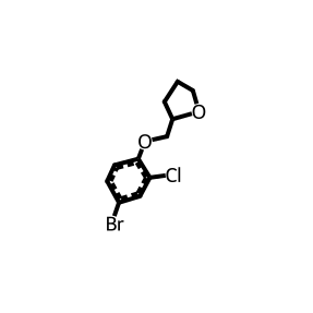 Clc1cc(Br)ccc1OCC1CCCO1